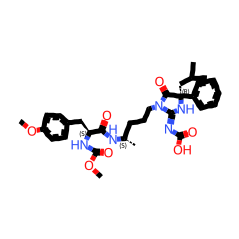 COC(=O)N[C@@H](Cc1ccc(OC)cc1)C(=O)N[C@@H](C)CCCN1C(=O)[C@@](CC(C)C)(c2ccccc2)NC1=NC(=O)O